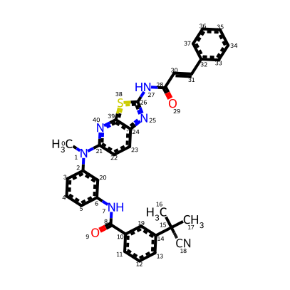 CN(c1cccc(NC(=O)c2cccc(C(C)(C)C#N)c2)c1)c1ccc2nc(NC(=O)/C=C/c3ccccc3)sc2n1